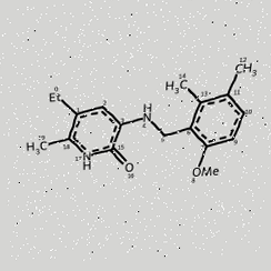 CCc1cc(NCc2c(OC)ccc(C)c2C)c(=O)[nH]c1C